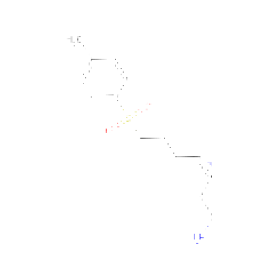 Cc1ccc(S(=O)(=O)CCC/C=C\CCN)cc1